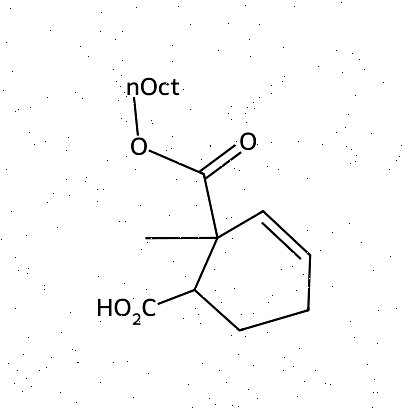 CCCCCCCCOC(=O)C1(C)C=CCCC1C(=O)O